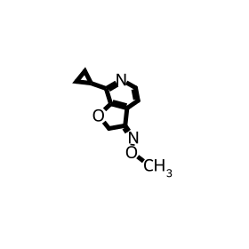 CON=C1COc2c1ccnc2C1CC1